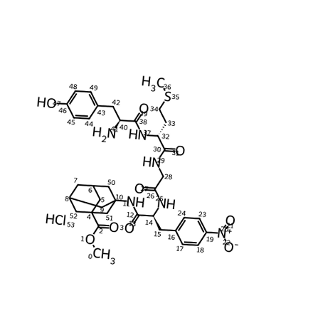 COC(=O)C12CC3CC(CC(NC(=O)[C@H](Cc4ccc([N+](=O)[O-])cc4)NC(=O)CNC(=O)[C@@H](CCSC)NC(=O)[C@@H](N)Cc4ccc(O)cc4)(C3)C1)C2.Cl